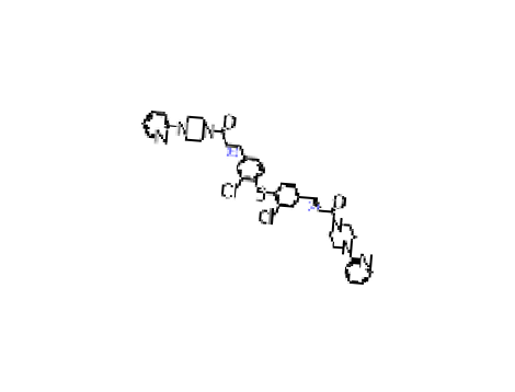 O=C(/C=C/c1ccc(Sc2ccc(/C=C/C(=O)N3CCN(c4ccccn4)CC3)cc2Cl)c(Cl)c1)N1CCN(c2ccccn2)CC1